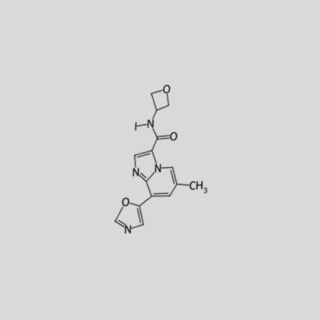 Cc1cc(-c2cnco2)c2ncc(C(=O)N(I)C3COC3)n2c1